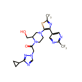 O=C(Cn1cnc(C2CC2)n1)N1CCN(c2sc(C(F)(F)F)nc2-c2cnc(C(F)(F)F)nc2)CC1CO